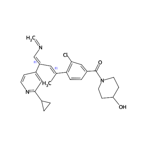 C=N/C=C(\C=C(/C)c1ccc(C(=O)N2CCC(O)CC2)cc1Cl)c1ccnc(C2CC2)c1